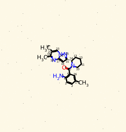 Cc1ccc(N)c(C(=O)N2CCCC[C@H]2c2cc3nc(C)c(C)cn3n2)c1